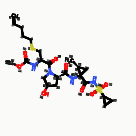 C=CCCCSC[C@H](NC(=O)OC(C)(C)C)C(=O)N1C[C@H](O)C[C@H]1C(=O)N[C@]1(C(=O)NS(=O)(=O)C2CC2)C[C@H]1C